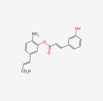 O=C(O)C=Cc1ccc([N+](=O)[O-])c(OC(=O)C=Cc2cccc(O)c2)c1